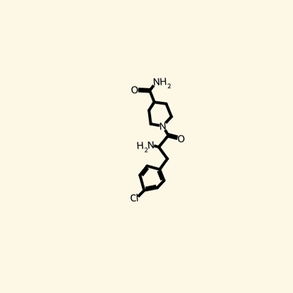 NC(=O)C1CCN(C(=O)C(N)Cc2ccc(Cl)cc2)CC1